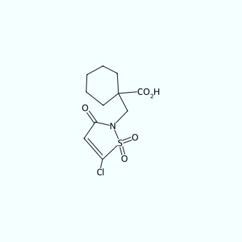 O=C1C=C(Cl)S(=O)(=O)N1CC1(C(=O)O)CCCCC1